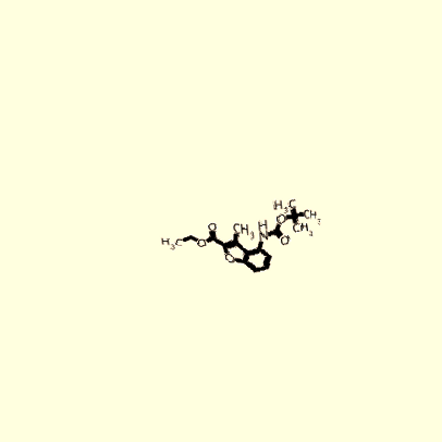 CCOC(=O)c1oc2cccc(NC(=O)OC(C)(C)C)c2c1C